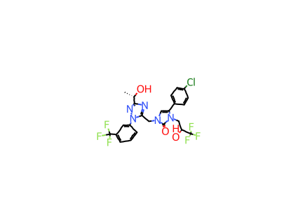 C[C@H](O)c1nc(Cn2cc(-c3ccc(Cl)cc3)n(C[C@H](O)C(F)(F)F)c2=O)n(-c2cccc(C(F)(F)F)c2)n1